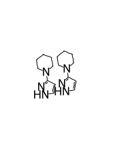 c1cc(N2CCCCC2)n[nH]1.c1cc(N2CCCCC2)n[nH]1